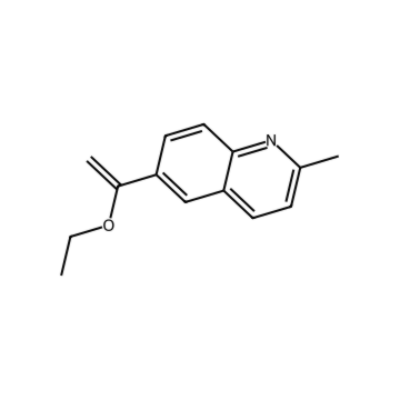 C=C(OCC)c1ccc2nc(C)ccc2c1